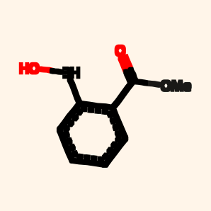 COC(=O)c1ccccc1BO